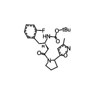 Cc1cc(C2CCCN2C(=O)C[C@@H](Cc2ccccc2F)NC(=O)OC(C)(C)C)on1